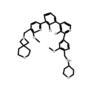 COc1cc(-c2nccc(-c3cccc(-c4ccc(CN5CC6(CCOCC6)C5)c(OC)n4)c3Cl)c2Cl)ccc1CNC1CCOCC1